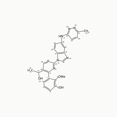 COc1c(O)cccc1-c1nc(-n2cnc3cc(Nc4ccc(C)nn4)ccc32)ccc1C(C)O